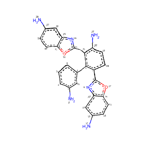 Nc1cccc(-c2c(-c3nc4cc(N)ccc4o3)ccc(N)c2-c2nc3cc(N)ccc3o2)c1